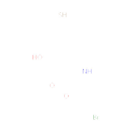 O=C(CBr)N[C@@H](CCS)C(=O)O